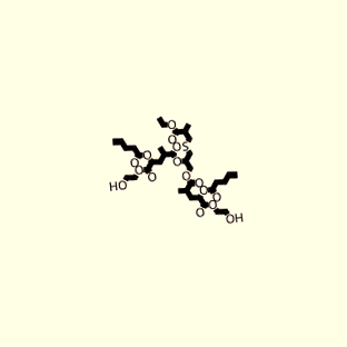 C=CCCC(=O)OC(CC(C)C(=O)OCC(CSCC(C)C(=O)OCC)OC(=O)C(C)CC(OC(=O)CCC=C)C(=O)OCCO)C(=O)OCCO